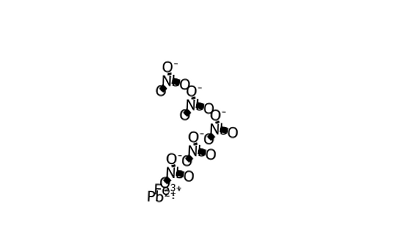 [Fe+3].[O]=[Nb](=[O])[O-].[O]=[Nb](=[O])[O-].[O]=[Nb](=[O])[O-].[O]=[Nb](=[O])[O-].[O]=[Nb](=[O])[O-].[Pb+2]